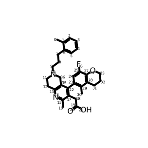 Cc1ccccc1CCCN1CCc2nc(C)c(CC(=O)O)c(-c3cc(F)c4c(c3C)CCCO4)c2C1